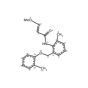 CO/N=C/C(=O)Nc1c(C)cccc1COc1ccccc1C